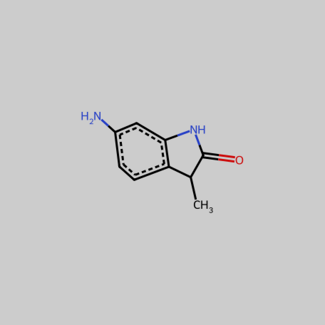 CC1C(=O)Nc2cc(N)ccc21